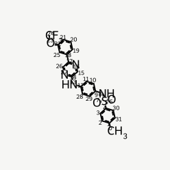 Cc1ccc(S(=O)(=O)Nc2ccc(Nc3cnc(-c4cccc(OC(F)(F)F)c4)cn3)cc2)cc1